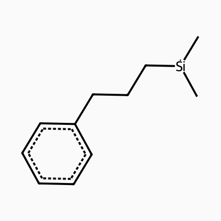 C[Si](C)CCCc1ccccc1